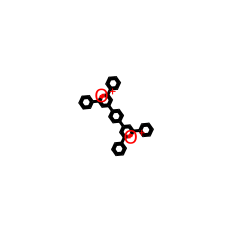 c1ccc(-c2cc(-c3ccc(-c4cc(-c5ccccc5)[o+]c(-c5ccccc5)c4)cc3)cc(-c3ccccc3)[o+]2)cc1